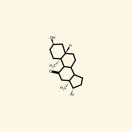 CC(=O)[C@H]1CCC2C3CC[C@H]4C[C@H](O)CC[C@]4(C)C3C(=O)C[C@@]21C